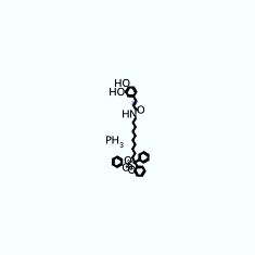 O=C(/C=C/c1ccc(O)c(O)c1)NCCCCCCCCCCC(c1ccccc1)(c1ccccc1)S(=O)(=O)Oc1ccccc1.P